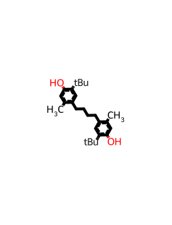 Cc1cc(O)c(C(C)(C)C)cc1CCCCc1cc(C(C)(C)C)c(O)cc1C